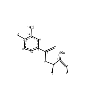 C=C(C[C@H](C)/C(=C\C)[C@H](C)CC)c1ccc(C)c(Cl)c1